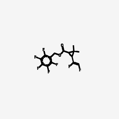 CC1(C)C(C(=O)OCc2c(F)c(F)c(F)c(F)c2F)C1/C(F)=C/F